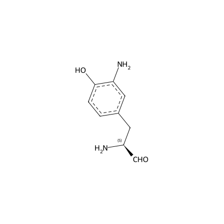 Nc1cc(C[C@H](N)C=O)ccc1O